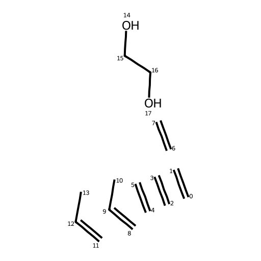 C=C.C=C.C=C.C=C.C=CC.C=CC.OCCO